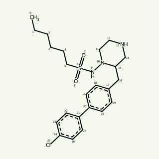 CCCCCCS(=O)(=O)NN1CCNCC1Cc1ccc(-c2ccc(Cl)cc2)cc1